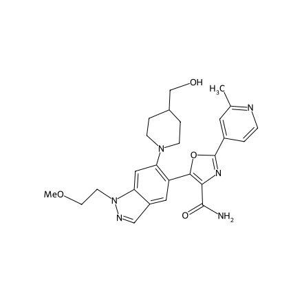 COCCn1ncc2cc(-c3oc(-c4ccnc(C)c4)nc3C(N)=O)c(N3CCC(CO)CC3)cc21